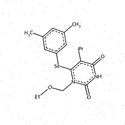 CCOCn1c([Se]c2cc(C)cc(C)c2)c(C(C)C)c(=O)[nH]c1=O